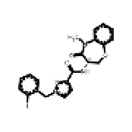 CN1C(=O)[C@@H](NC(=O)c2ccn(Cc3ccccc3I)n2)COc2ccccc21